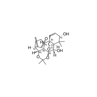 C=C1C(=O)[C@@]23[C@@H]4OC(C)(C)O[C@]25OC[C@]2(C=C[C@H](O)C(C)(C)[C@H]2[C@@H]5O)[C@@H]3CC[C@@H]14